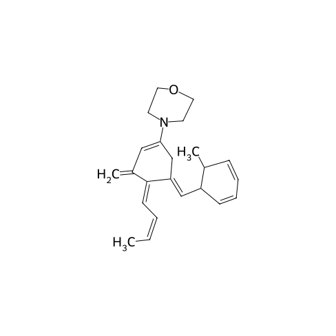 C=C1C=C(N2CCOCC2)CC(=C\C2C=CC=CC2C)/C1=C\C=C/C